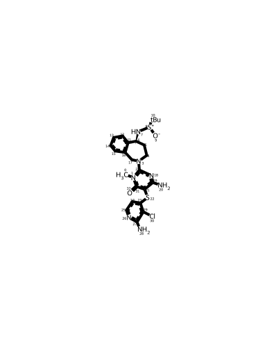 Cn1c(N2CC[C@H](N[S+]([O-])C(C)(C)C)c3ccccc3C2)nc(N)c(Sc2ccnc(N)c2Cl)c1=O